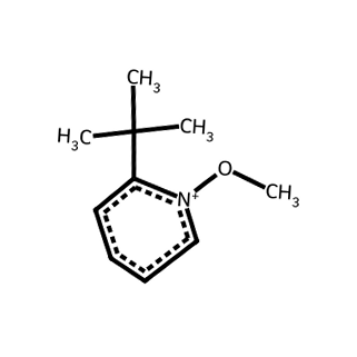 CO[n+]1ccccc1C(C)(C)C